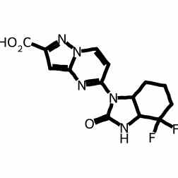 O=C(O)c1cc2nc(N3C(=O)NC4C3CCCC4(F)F)ccn2n1